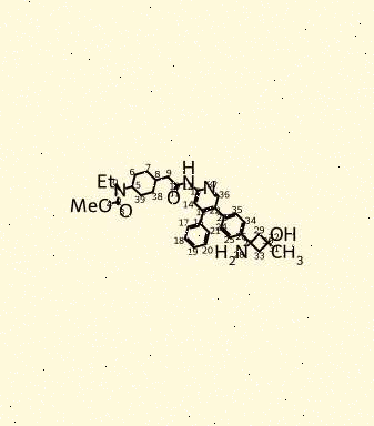 CCN(C(=O)OC)C1CCC(CC(=O)Nc2cc(-c3ccccc3)c(-c3ccc([C@]4(N)C[C@](C)(O)C4)cc3)cn2)CC1